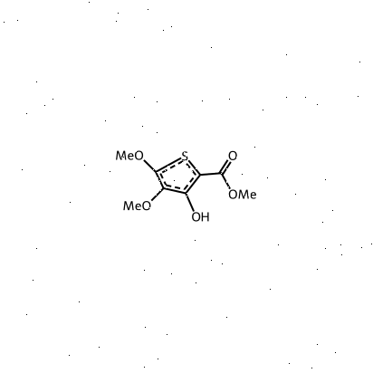 COC(=O)c1sc(OC)c(OC)c1O